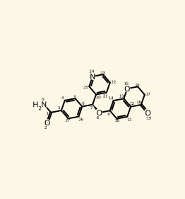 NC(=O)c1ccc([C@H](Oc2ccc3c(c2)OCCC3=O)c2cccnc2)cc1